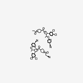 CC(Oc1ccc(C#N)cn1)C1CN(C(=O)C2CCN(C(=O)CC#N)CC2)CC1c1ccc(Cl)c(Cl)c1.CCC(=O)N1CCC(C(=O)N2CC(c3ccc(Cl)c(Cl)c3)C(C(C)Oc3ccc(C#N)cn3)C2)CC1